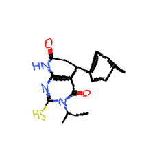 Cc1ccc(C2CC(=O)Nc3nc(S)n(C(C)C)c(=O)c32)cc1